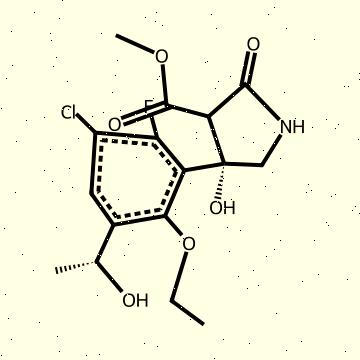 CCOc1c([C@@H](C)O)cc(Cl)c(F)c1[C@]1(O)CNC(=O)C1C(=O)OC